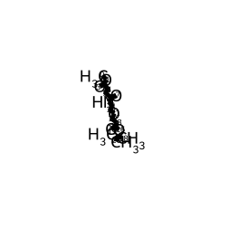 COC(=O)C=CC(=O)NCCOCCC(=O)OC(C)(C)C